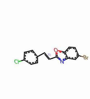 Clc1ccc(/C=C/c2nc3cc(Br)ccc3o2)cc1